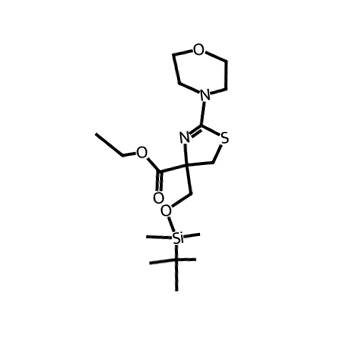 CCOC(=O)C1(CO[Si](C)(C)C(C)(C)C)CSC(N2CCOCC2)=N1